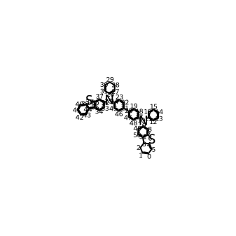 C1=CCC2C(=C1)Sc1cc(N(c3ccccc3)c3ccc(-c4ccc(N(C5=CCCC=C5)c5ccc6c(c5)sc5ccccc56)cc4)cc3)ccc12